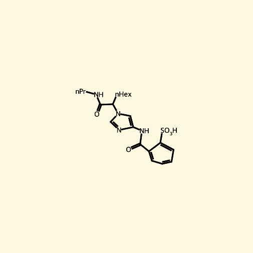 CCCCCCC(C(=O)NCCC)n1cnc(NC(=O)c2ccccc2S(=O)(=O)O)c1